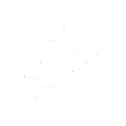 FC(F)=C(F)F.FC(F)=C1OC(F)(F)C(F)(C(F)(F)F)O1